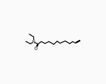 C=CCCCCCCCCCC(=O)N(CC)CC